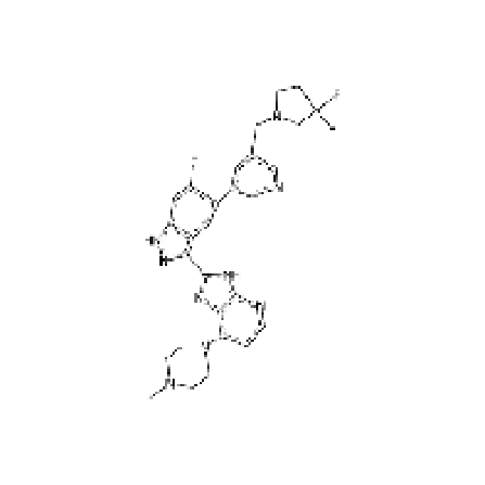 CN1CCN(c2ccnc3[nH]c(-c4n[nH]c5cc(F)c(-c6cncc(CN7CCC(F)(F)C7)c6)cc45)nc23)CC1